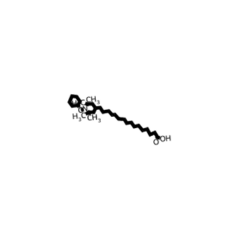 CC1(C)CC(CCCCCCCCCCCCCCCC(=O)O)CC(C)(C)N1OC1CCCCC1